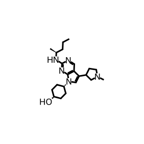 CCC[C@H](C)Nc1ncc2c(C3CCN(C)C3)cn([C@H]3CC[C@H](O)CC3)c2n1